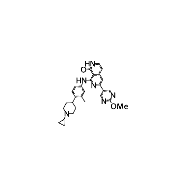 COc1ncc(-c2cc3cc[nH]c(=O)c3c(Nc3ccc(C4CCN(C5CC5)CC4)c(C)c3)n2)cn1